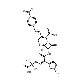 CC(C)(O/N=C(\C(=O)NC1C(=O)N2C(C(=O)O)=C(/C=C/c3ccc([N+](=O)[O-])cc3)CS[C@H]12)c1csc(N)n1)C(=O)O